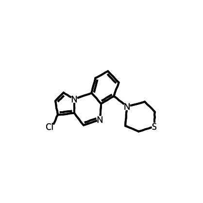 Clc1ccn2c1cnc1c(N3CCSCC3)cccc12